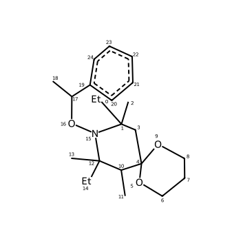 CCC1(C)CC2(OCCCO2)C(C)C(C)(CC)N1OC(C)c1ccccc1